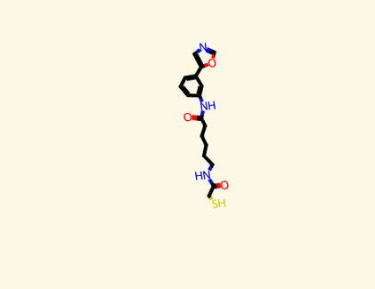 O=C(CS)NCCCCCC(=O)Nc1cccc(-c2cnco2)c1